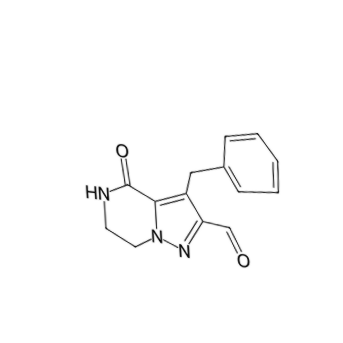 O=Cc1nn2c(c1Cc1ccccc1)C(=O)NCC2